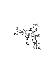 Cc1ccc(NC(=O)[C@H]2CN(S(C)(=O)=O)C[C@@H]2c2nnc(CCCC(C)(C)C)n2C2CC2)c(C)c1